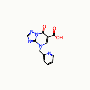 O=C(O)c1cn(Cc2ccccn2)c2ncnn2c1=O